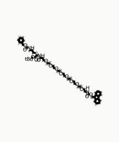 CC(C)(C)OC(=O)[C@H](CCCCNC(=O)OCc1ccccc1)NC(=O)CCOCCOCCOCCOCCOCCOCCOCCOCCNC(=O)OCC1c2ccccc2-c2ccccc21